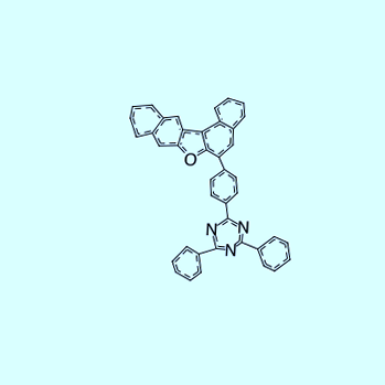 c1ccc(-c2nc(-c3ccccc3)nc(-c3ccc(-c4cc5ccccc5c5c4oc4cc6ccccc6cc45)cc3)n2)cc1